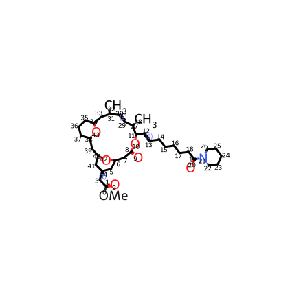 COC(=O)/C=C1\CC2CC(=O)OC(/C=C/CCCCCC(=O)N3CCCCC3)C(C)/C=C/C(C)CC3CCCC(CC(C1)O2)O3